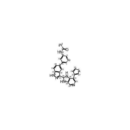 CC(C)C(=O)Nc1cncc(-c2ccc3[nH]nc(C4Nc5cncc(-c6ccsc6)c5N4)c3c2)c1